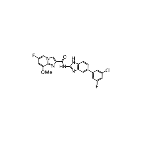 COc1cc(F)cn2cc(C(=O)Nc3nc4cc(-c5cc(F)cc(Cl)c5)ccc4[nH]3)nc12